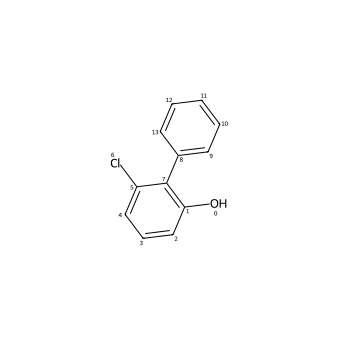 Oc1cccc(Cl)c1-c1ccccc1